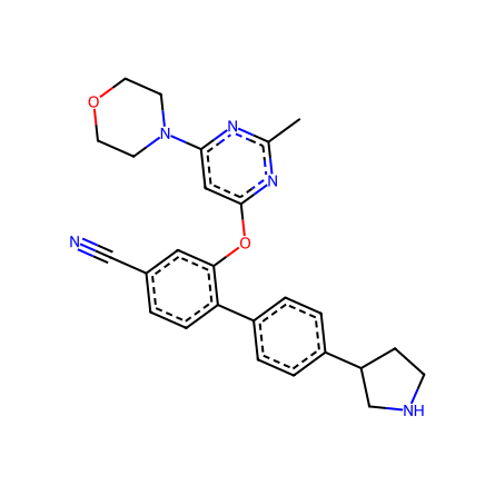 Cc1nc(Oc2cc(C#N)ccc2-c2ccc(C3CCNC3)cc2)cc(N2CCOCC2)n1